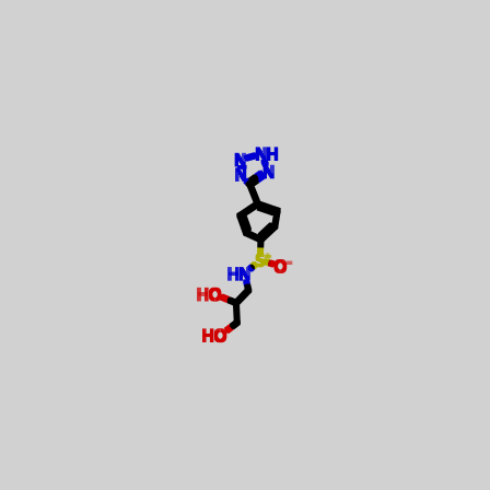 [O-][S+](NCC(O)CO)c1ccc(-c2nn[nH]n2)cc1